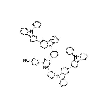 N#Cc1ccc(-c2nc(-c3cccc(-n4c5ccccc5c5cc(-c6ccc7c8ccccc8n(-c8ccccc8)c7c6)ccc54)c3)cc(-c3cccc(-n4c5ccccc5c5cc(-c6ccc7c8ccccc8n(-c8ccccc8)c7c6)ccc54)c3)n2)cc1